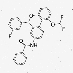 O=C(Nc1ccc2c(c1)C(c1cccc(F)c1)Oc1cccc(OC(F)F)c1-2)c1ccccc1